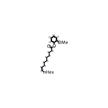 CCCCCC/C=C\CCCCCCCC(=O)Oc1ccccc1OC